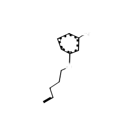 C=CCCCOc1cccc(Br)c1